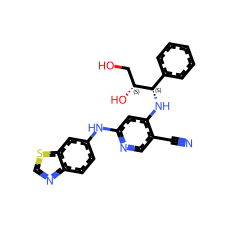 N#Cc1cnc(Nc2ccc3ncsc3c2)cc1N[C@@H](c1ccccc1)[C@H](O)CO